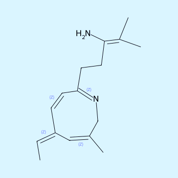 C/C=C1/C=C\C(CCC(N)=C(C)C)=N/C\C(C)=C/1